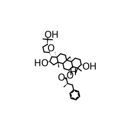 C[C@H](Cc1ccccc1)C(=O)O[C@H]1CC2C3(CC[C@]4(C)[C@@H](C5CC[C@@H](C(C)(C)O)O5)[C@@H](O)C[C@@]24C)C[C@@]32CC[C@H](O)C(C)(C)[C@H]12